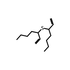 C=CC(CCCC)SC(C=C)CCCC